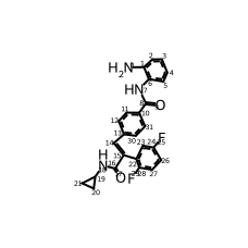 Nc1ccccc1NC(=O)c1ccc(/C=C(/C(=O)NC2CC2)c2cc(F)ccc2F)cc1